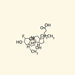 CC[C@H]1[C@@H](O)[C@@H]2[C@H](CC[C@]3(C)[C@@H]([C@H](C)CCC(=O)O)CC[C@@H]23)[C@@]2(C)C[C@H](F)[C@@H](O)C[C@@H]12